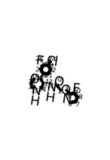 O=C(COc1ncccc1F)NC[C@@H]1CNCCO[C@H]1c1ccc(Cl)c(F)c1